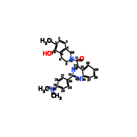 Cc1ccc2c(c1O)CCN(C(=O)c1nc(-c3ccc(N(C)C)cc3)nc3ccccc13)C2